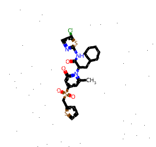 Cc1cc(S(=O)(=O)Cc2cccs2)cc(=O)n1C(CC1CCCCC1)C(=O)Nc1ncc(Cl)s1